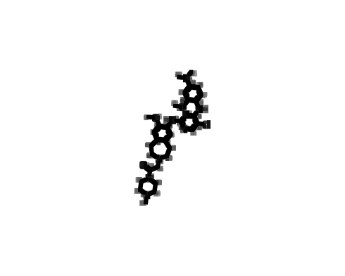 COc1cc2c(cc1Nc1ncc(Cl)c(Nc3ccc(N(C)C)cc3OC)n1)CCN(CC(=O)N1CCN(C)CC1)CC2